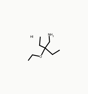 CCOC(CC)(CC)CN.I